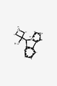 OC1(C2c3ccccc3-c3cncn32)COC1